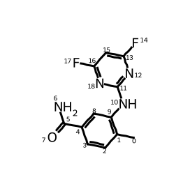 Cc1ccc(C(N)=O)cc1Nc1nc(F)cc(F)n1